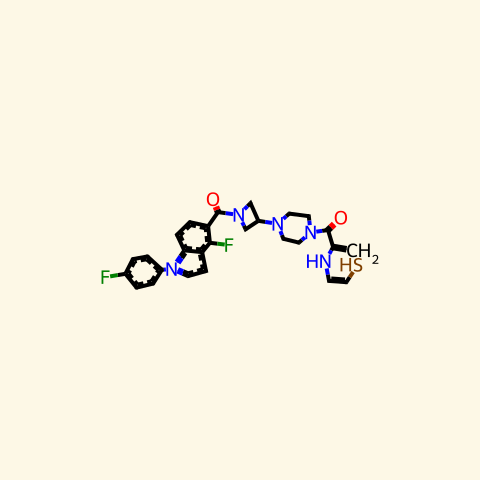 C=C(N/C=C\S)C(=O)N1CCN(C2CN(C(=O)c3ccc4c(ccn4-c4ccc(F)cc4)c3F)C2)CC1